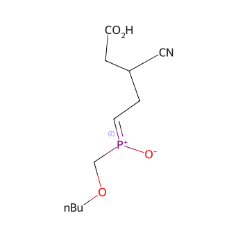 CCCCOC/[P+]([O-])=C/CC(C#N)CC(=O)O